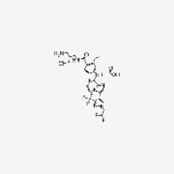 CCc1cc(Nc2nccn3c(-c4cn(CC(F)F)nc4C(F)(F)F)cnc23)ccc1C(=O)NCC(CN)CCl.O=CO